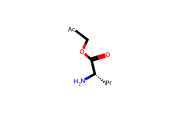 CC(=O)COC(=O)[C@@H](N)C(C)C